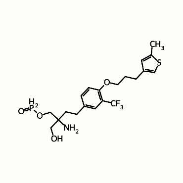 Cc1cc(CCCOc2ccc(CCC(N)(CO)CO[PH2]=O)cc2C(F)(F)F)cs1